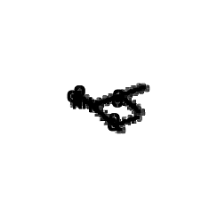 CCCCCCCCC(CC)OC(=O)CCCCCCCN(CCCCCCCC(=O)OC(CCCCCCCC)CCCCCCCC)CCCCc1c(NC)c(=O)c1=O